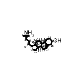 C[C@H](CCC(C)(C)N)[C@H]1CC[C@H]2[C@@H]3CC=C4C[C@@H](O)CC[C@@H]4[C@H]3CC[C@]12C